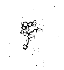 COC1=CC23CCCN2CCc2cc4c(cc2[C@@H]3C1OC(=O)[C@@](O)(CCCC(C)(C)O)CC(=O)OCc1cccs1)OCO4